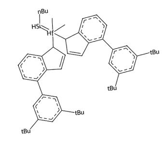 CCCC[SiH]=[Hf]([CH3])([CH3])([CH]1C=Cc2c(-c3cc(C(C)(C)C)cc(C(C)(C)C)c3)cccc21)[CH]1C=Cc2c(-c3cc(C(C)(C)C)cc(C(C)(C)C)c3)cccc21